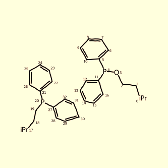 CC(C)CCOP(c1ccccc1)c1ccccc1.CC(C)CCP(c1ccccc1)c1ccccc1